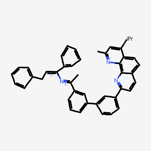 C/C(=N\C(=C/Cc1ccccc1)c1ccccc1)c1cccc(-c2cccc(-c3ccc4ccc5c(C(C)C)cc(C)nc5c4n3)c2)c1